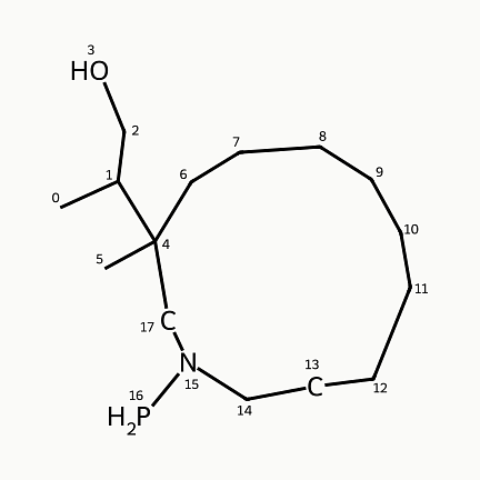 CC(CO)C1(C)CCCCCCCCCN(P)C1